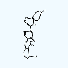 O=C(Nc1cc(Cl)ccc1Cl)c1ccc2[nH]c(NC3C(Cl)CCCC3Cl)nc2c1